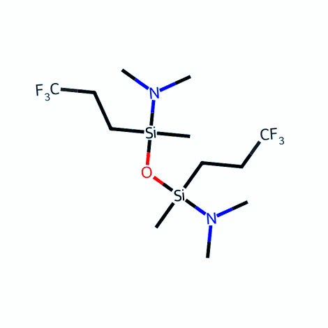 CN(C)[Si](C)(CCC(F)(F)F)O[Si](C)(CCC(F)(F)F)N(C)C